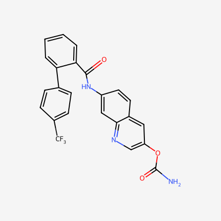 NC(=O)Oc1cnc2cc(NC(=O)c3ccccc3-c3ccc(C(F)(F)F)cc3)ccc2c1